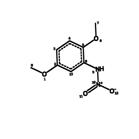 COc1ccc(OC)c(N[N+](=O)[O-])c1